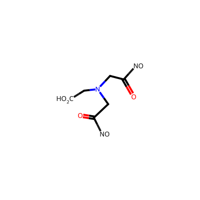 O=NC(=O)CN(CC(=O)O)CC(=O)N=O